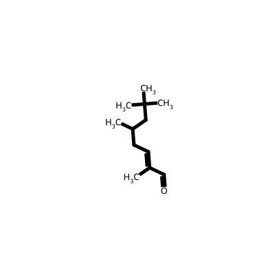 C/C(C=O)=C\CC(C)CC(C)(C)C